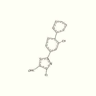 N#Cc1cc(-c2nc(Cl)c(C=O)s2)ccc1-c1ccccc1